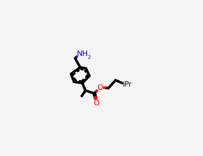 CC(C)CCOC(=O)C(C)c1ccc(CN)cc1